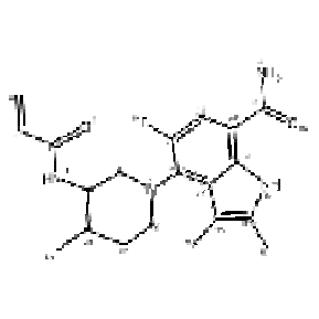 C=CC(=O)NC1CN(c2c(F)cc(C(N)=O)c3[nH]c(C)c(C)c23)CCC1F